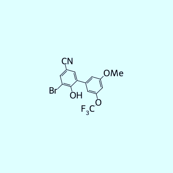 COc1cc(OC(F)(F)F)cc(-c2cc(C#N)cc(Br)c2O)c1